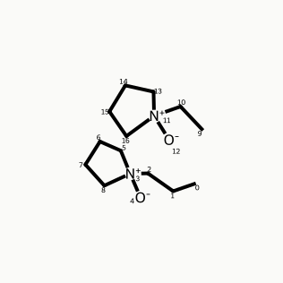 CCC[N+]1([O-])CCCC1.CC[N+]1([O-])CCCC1